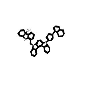 CC12C=CC=CC1Oc1c(Cn3c4ccccc4c4c5c6c(n(-c7ccc(-c8cccc9c8CCC=C9)cc7)c5ccc43)CCC=C6)cccc12